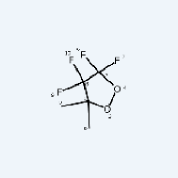 CC1(C)OOC(F)(F)C1(F)F